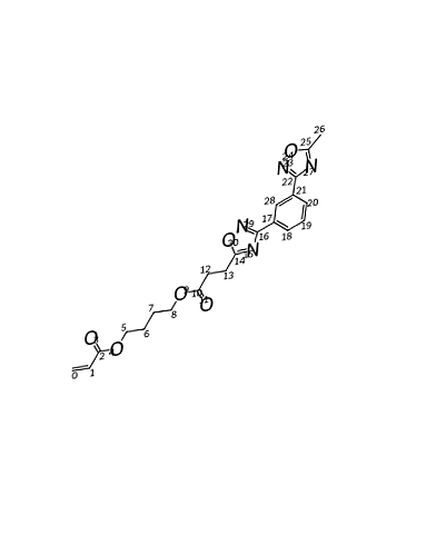 C=CC(=O)OCCCCOC(=O)CCc1nc(-c2cccc(-c3noc(C)n3)c2)no1